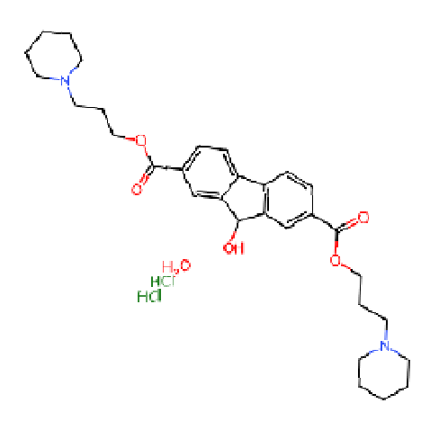 Cl.Cl.O.O=C(OCCCN1CCCCC1)c1ccc2c(c1)C(O)c1cc(C(=O)OCCCN3CCCCC3)ccc1-2